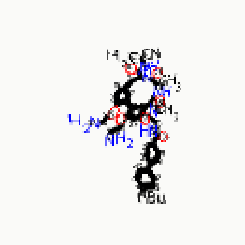 C=C(C#N)NC(=O)C1Cc2ccc(OCCN)c(c2)-c2cc(ccc2OCCN)C(N(C)C(=O)CNC(=O)c2ccc(-c3ccc(CCCC)cc3)cc2)C(=O)N[C@@H](C)C(=O)N1